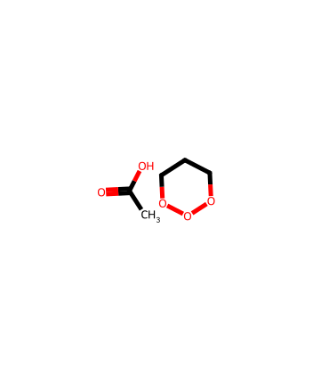 C1COOOC1.CC(=O)O